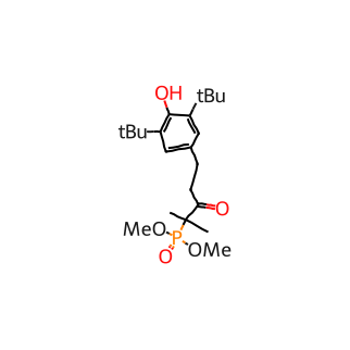 COP(=O)(OC)C(C)(C)C(=O)CCc1cc(C(C)(C)C)c(O)c(C(C)(C)C)c1